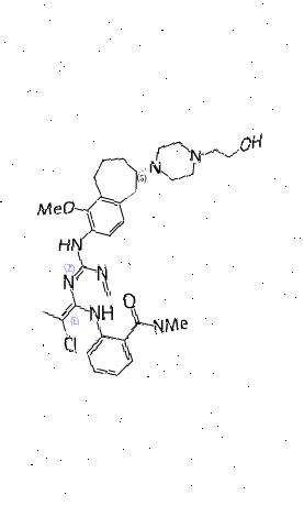 C=N/C(=N\C(Nc1ccccc1C(=O)NC)=C(/C)Cl)Nc1ccc2c(c1OC)CCC[C@H](N1CCN(CCO)CC1)C2